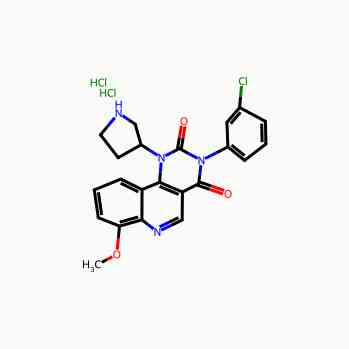 COc1cccc2c1ncc1c(=O)n(-c3cccc(Cl)c3)c(=O)n(C3CCNC3)c12.Cl.Cl